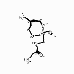 CC(=O)SC[Si]1(C)OCC(C)CO1